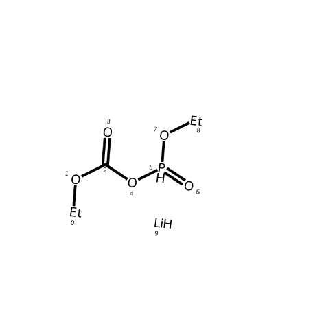 CCOC(=O)O[PH](=O)OCC.[LiH]